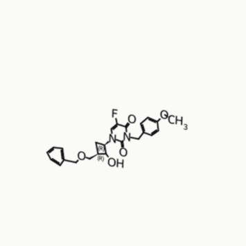 COc1ccc(Cn2c(=O)c(F)cn([C@@H]3C[C@H](COCc4ccccc4)C3O)c2=O)cc1